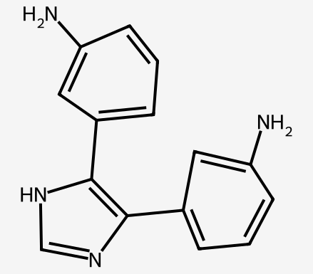 Nc1cccc(-c2nc[nH]c2-c2cccc(N)c2)c1